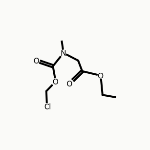 CCOC(=O)CN(C)C(=O)OCCl